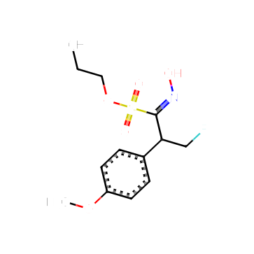 CCCOS(=O)(=O)C(=NO)C(CF)c1ccc(OC)cc1